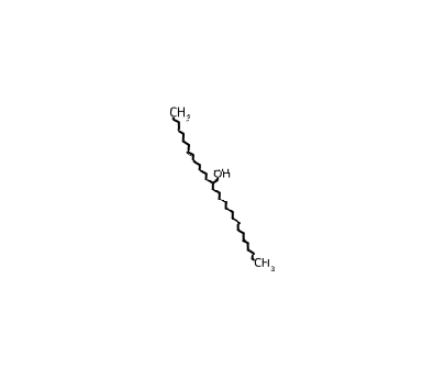 CCCCCCCCCCCCCCCCC(CO)CCCCCCCCCCCCCC